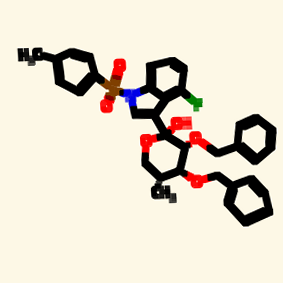 Cc1ccc(S(=O)(=O)n2cc(C3(O)OC[C@@H](C)[C@H](OCc4ccccc4)[C@H]3OCc3ccccc3)c3c(F)cccc32)cc1